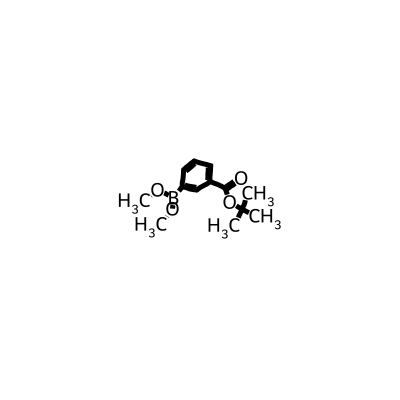 COB(OC)c1cccc(C(=O)OC(C)(C)C)c1